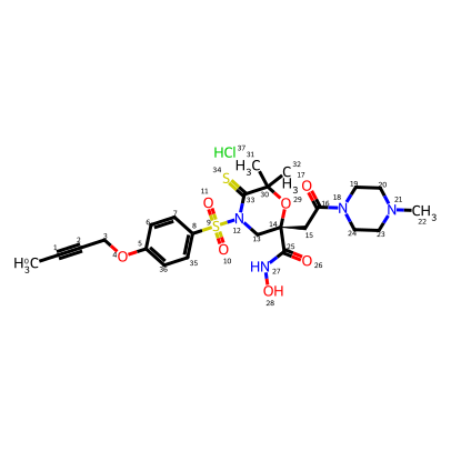 CC#CCOc1ccc(S(=O)(=O)N2C[C@@](CC(=O)N3CCN(C)CC3)(C(=O)NO)OC(C)(C)C2=S)cc1.Cl